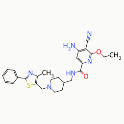 CCOc1nc(C(=O)NCC2CCN(Cc3sc(-c4ccccc4)nc3C)CC2)cc(N)c1C#N